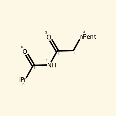 CCCCCCC(=O)NC(=O)C(C)C